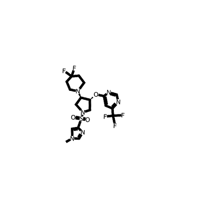 Cn1cnc(S(=O)(=O)N2C[C@@H](N3CCC(F)(F)CC3)[C@H](Oc3cc(C(F)(F)F)ncn3)C2)c1